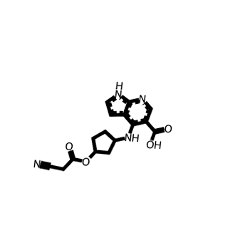 N#CCC(=O)OC1CCC(Nc2c(C(=O)O)cnc3[nH]ccc23)C1